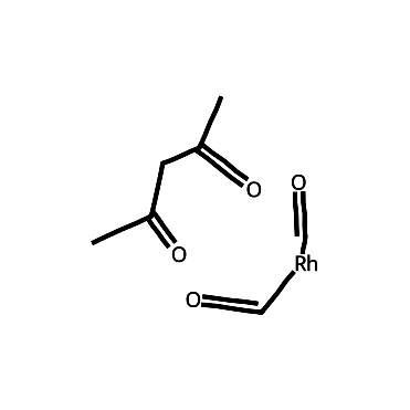 CC(=O)CC(C)=O.O=[CH][Rh][CH]=O